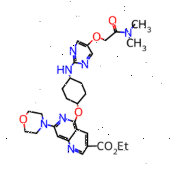 CCOC(=O)c1cnc2cc(N3CCOCC3)nc(O[C@H]3CC[C@@H](Nc4ncc(OCC(=O)N(C)C)cn4)CC3)c2c1